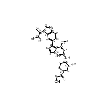 COc1nc(N[C@H]2CCN(C(=O)CO)C[C@H]2F)nn2ccc(-c3ccc4nnn([C@H](C)C(F)F)c4c3)c12